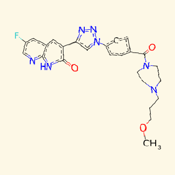 COCCCN1CCN(C(=O)c2ccc(-n3cc(-c4cc5cc(F)cnc5[nH]c4=O)nn3)cc2)CC1